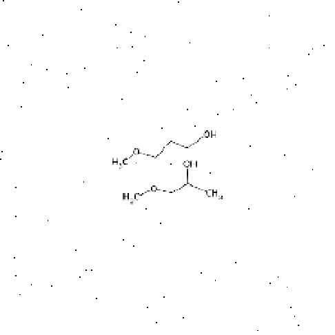 COCC(C)O.COCCCO